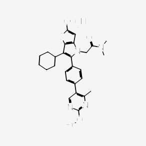 CCOc1ncc(-c2ccc(-c3c(C4CCCCC4)c4sc(C(=O)O)cc4n3CC(=O)N(C)C)cc2)c(C)n1